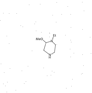 CCN1CCNCC1OC